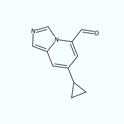 O=Cc1cc(C2CC2)cc2cncn12